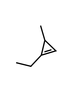 CCC1=CC1C